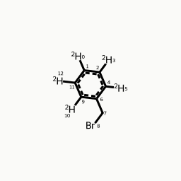 [2H]c1c([2H])c([2H])c(CBr)c([2H])c1[2H]